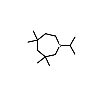 CC(C)N1CCC(C)(C)CC(C)(C)C1